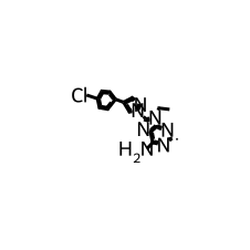 CCn1c(-n2cc(-c3ccc(Cl)cc3)cn2)nc2c(N)n[c]nc21